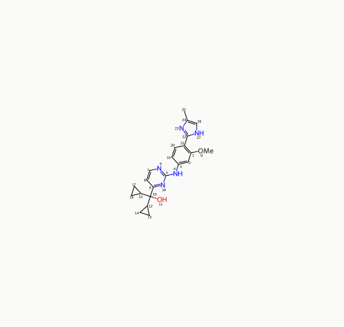 COc1cc(Nc2nccc(C(O)(C3CC3)C3CC3)n2)ccc1-c1nc(C)c[nH]1